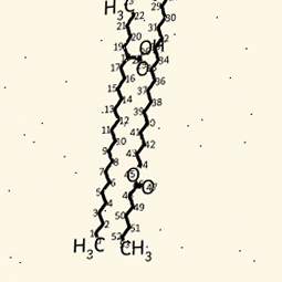 CCCCCCCCCCCCCCCCCCC(CCCCC)C(=O)O.CCCCCCCCCCCCCCCCCCOC(=O)CCCCCC